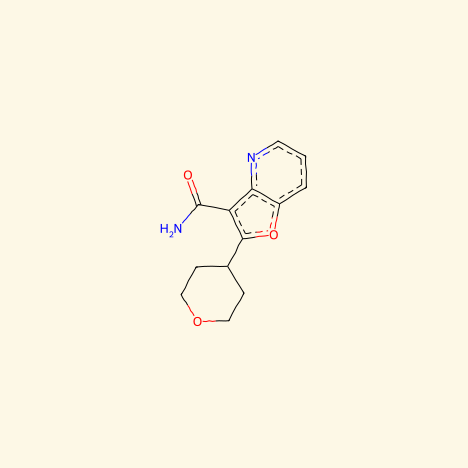 NC(=O)c1c(C2CCOCC2)oc2cccnc12